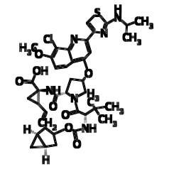 C=CC1C[C@]1(NC(=O)[C@@H]1CC(Oc2cc(-c3csc(NC(C)C)n3)nc3c(Cl)c(OC)ccc23)CN1C(=O)[C@@H](NC(=O)OC1C[C@@H]2C[C@@H]2C1)C(C)(C)C)C(=O)O